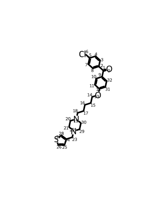 O=C(c1ccc(Cl)cc1)c1ccc(OCCCCCN2CCN(Cc3ccsc3)CC2)cc1